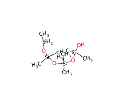 C[SiH2]O[Si](C)(C)O[Si](C)(C)O[Si](C)(C)O